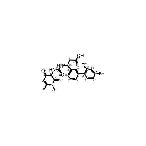 CC1=CC(=O)C(NC(=O)NC(CC(=O)O)c2cccc(-c3ccc(F)cc3F)c2)C(=O)N1C